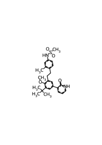 COc1c(CCc2ccc(NS(C)(=O)=O)cc2C)cc(-c2ccc[nH]c2=O)cc1C(C)(C)C